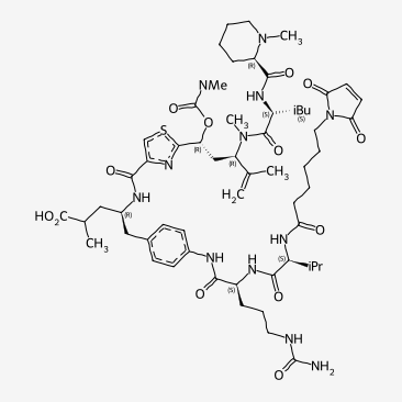 C=C(C)[C@@H](C[C@@H](OC(=O)NC)c1nc(C(=O)N[C@@H](Cc2ccc(NC(=O)[C@H](CCCNC(N)=O)NC(=O)[C@@H](NC(=O)CCCCCN3C(=O)C=CC3=O)C(C)C)cc2)CC(C)C(=O)O)cs1)N(C)C(=O)[C@@H](NC(=O)[C@H]1CCCCN1C)[C@@H](C)CC